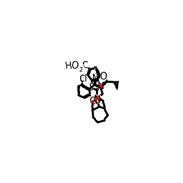 O=C(O)c1ccc2nc(N3CC4CCCCC(C3)C4OCc3c(-c4c(Cl)cccc4Cl)noc3C3CC3)sc2c1